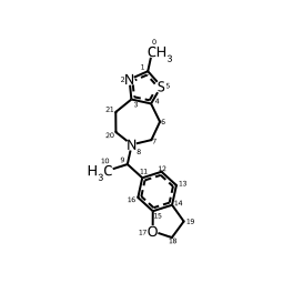 Cc1nc2c(s1)CCN(C(C)c1ccc3c(c1)OCC3)CC2